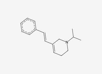 CC(C)N1CCC=C(C=Cc2ccccc2)C1